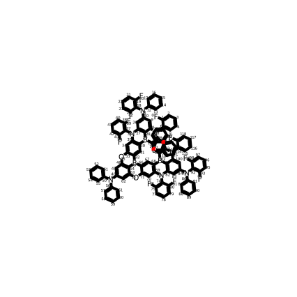 Fc1ccccc1N1c2cc(N(c3ccccc3)c3c(F)cccc3F)cc3c2B(c2cc4c(cc2N3c2c(F)cccc2F)Oc2cc(N(c3ccccc3)c3ccccc3)cc3c2B4c2cc4c(cc2O3)N(c2c(F)cccc2F)c2cc(N(c3ccccc3)c3c(F)cccc3F)cc3c2B4c2sc4ccccc4c2N3c2ccccc2F)c2sc3ccccc3c21